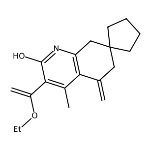 C=C(OCC)c1c(O)nc2c(c1C)C(=C)CC1(CCCC1)C2